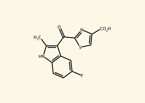 Cc1[nH]c2ccc(F)cc2c1C(=O)c1nc(C(=O)O)cs1